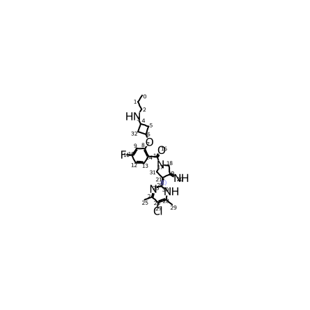 CCCNC1CC(Oc2cc(F)ccc2C(=O)N2CC(=N)/C(=C3/N=C(C)C(Cl)=C(C)N3)C2)C1